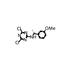 COc1cccc([C@@H](C)Nc2nc(Cl)nc(Cl)n2)c1